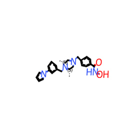 C[C@@H]1CN(Cc2ccc(C(=O)NO)cc2)C[C@H](C)N1Cc1cccc(-n2cccc2)c1